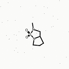 CN1CC2C[C]CN2S1(=O)=O